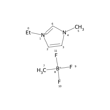 CC[n+]1ccn(C)c1.C[B-](F)(F)F